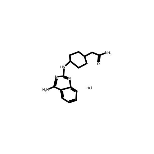 Cl.NC(=O)CC1CCC(Nc2nc(N)c3ccccc3n2)CC1